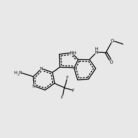 COC(=O)Nc1cccc2c(-c3nc(N)ncc3C(F)(F)F)c[nH]c12